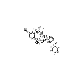 C[C@H]1[C@H]2c3cc(C#N)cnc3N(C)C(=O)[C@@H](NC(=O)c3nnc(Cc4ccccc4)[nH]3)[C@H]12